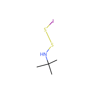 CC(C)(C)NSSI